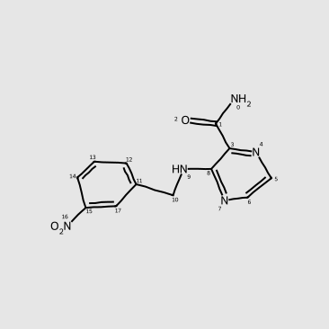 NC(=O)c1nccnc1NCc1cccc([N+](=O)[O-])c1